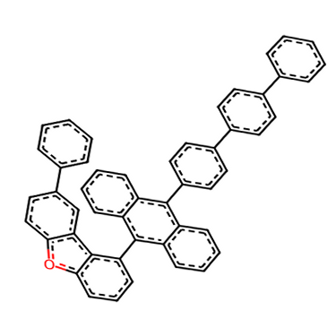 c1ccc(-c2ccc(-c3ccc(-c4c5ccccc5c(-c5cccc6oc7ccc(-c8ccccc8)cc7c56)c5ccccc45)cc3)cc2)cc1